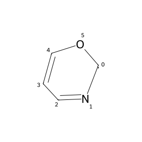 [CH]1N=CC=CO1